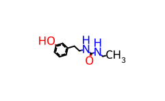 CCNC(=O)NCCc1cccc(O)c1